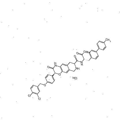 COC(=O)[C@H](Cc1ccc(-c2ccc(C)cc2)cc1)NC(=O)C1Cc2cc3c(cc2CN1)O[C@@H](c1ccc(OCc2ccc(Cl)c(Cl)c2)cc1)C(=O)N3.Cl